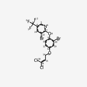 FC(F)(F)c1cnc(Oc2ccc(OCC=C(Cl)Cl)cc2Br)c(Br)c1